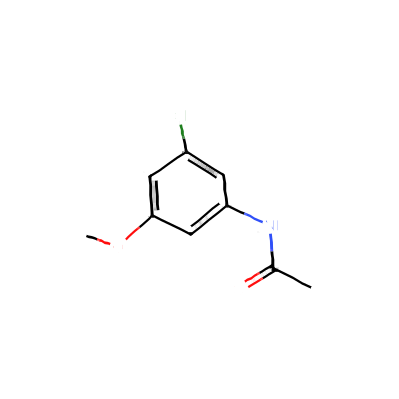 COc1cc(Cl)cc(NC(C)=O)c1